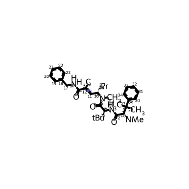 CN[C@H](C(=O)N[C@H](C(=O)N(C)[C@H](/C=C(\C)C(=O)NCc1ccccc1)C(C)C)C(C)(C)C)C(C)(C)c1ccccc1